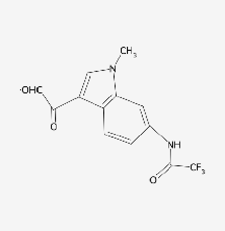 Cn1cc(C(=O)[C]=O)c2ccc(NC(=O)C(F)(F)F)cc21